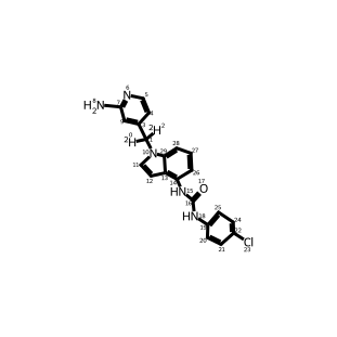 [2H]C([2H])(c1ccnc(N)c1)n1ccc2c(NC(=O)Nc3ccc(Cl)cc3)cccc21